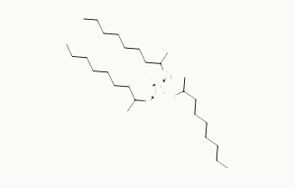 CCCCCCCC(C)OP(=O)(OC(C)CCCCCCC)OC(C)CCCCCCC